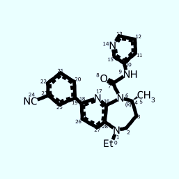 CCN1CC[C@@H](C)N(C(=O)Nc2cccnc2)c2nc(-c3cccc(C#N)c3)ccc21